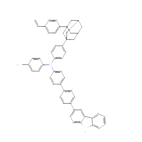 C=Cc1ccc(C23CC4CC(C2)CC(c2ccc(N(c5ccc(CCCC)cc5)c5ccc(-c6ccc(-c7ccc8sc9ccccc9c8c7)cc6)cc5)cc2)(C4)C3)cc1